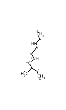 CCNC[CH]NOC(C)CC